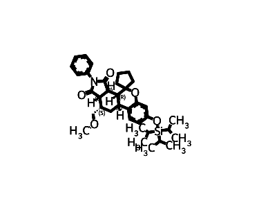 COC[C@H]1C[C@H]2c3ccc(O[Si](C(C)C)(C(C)C)C(C)C)cc3OC3(CCCC3)[C@H]2[C@H]2C(=O)N(c3ccccc3)C(=O)[C@@H]12